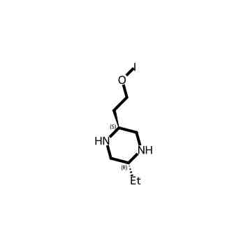 CC[C@@H]1CN[C@@H](CCOI)CN1